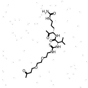 CC(=O)CCOCCOCCNC(=S)N[C@H](C(=O)N[C@@H](CCCNC(N)=O)C(C)=O)C(C)C